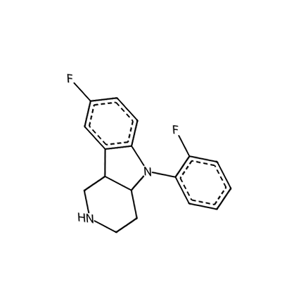 Fc1ccc2c(c1)C1CNCCC1N2c1ccccc1F